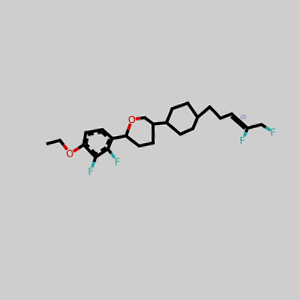 CCOc1ccc(C2CCC(C3CCC(CC/C=C(\F)CF)CC3)CO2)c(F)c1F